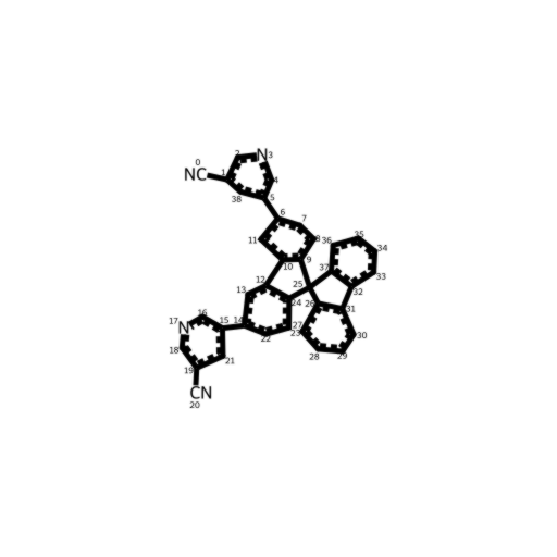 N#Cc1cncc(-c2ccc3c(c2)-c2cc(-c4cncc(C#N)c4)ccc2C32c3ccccc3-c3ccccc32)c1